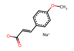 COc1ccc(/C=C/C(=O)[O-])cc1.[Na+]